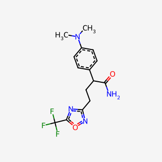 CN(C)c1ccc(C(CCc2noc(C(F)(F)F)n2)C(N)=O)cc1